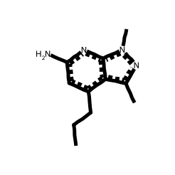 CCCc1cc(N)nc2c1c(C)nn2C